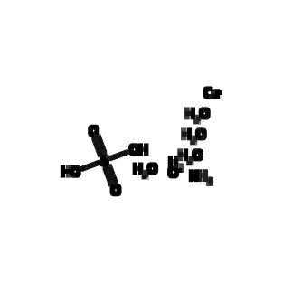 N.O.O.O.O.O.O=S(=O)(O)O.[Cu]